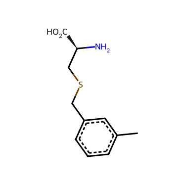 Cc1cccc(CSC[C@H](N)C(=O)O)c1